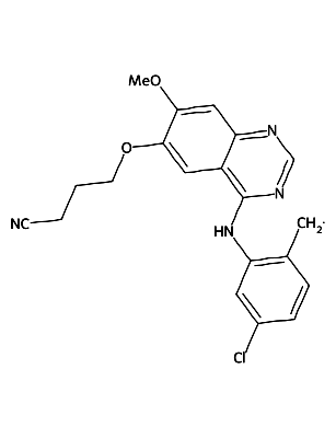 [CH2]c1ccc(Cl)cc1Nc1ncnc2cc(OC)c(OCCCC#N)cc12